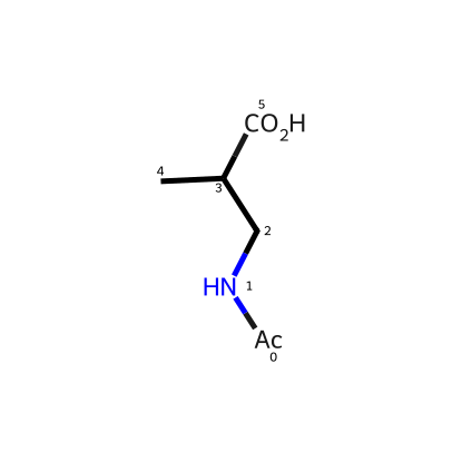 [CH2]C(=O)NCC(C)C(=O)O